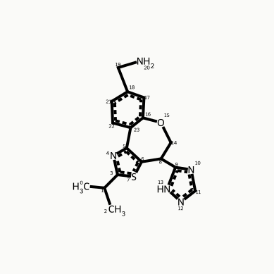 CC(C)c1nc2c(s1)C(c1ncn[nH]1)COc1cc(CN)ccc1-2